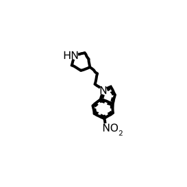 O=[N+]([O-])c1ccc2c(ccn2CCC2CCNCC2)c1